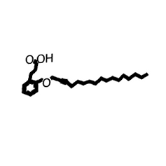 CCCCCCCCCCCCCCC#CCOCc1ccccc1CCC(=O)O